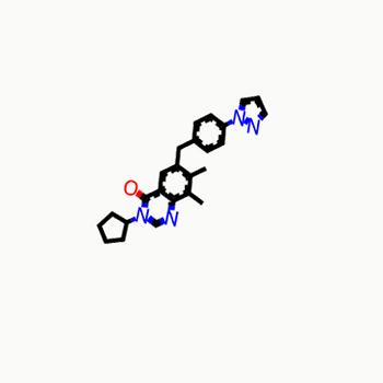 Cc1c(Cc2ccc(-n3cccn3)cc2)cc2c(=O)n(C3CCCC3)cnc2c1C